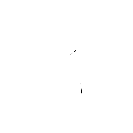 CCC(C)[C@@H](C)C(C)[C@H](C)F